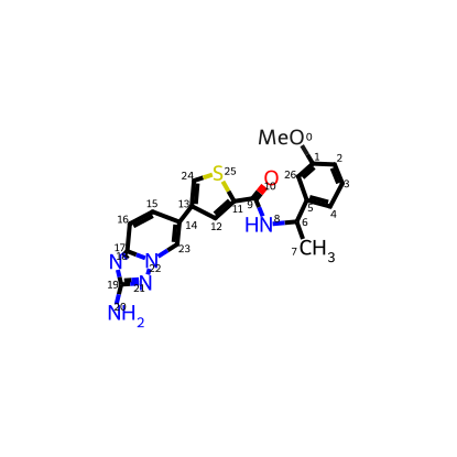 COc1cccc(C(C)NC(=O)c2cc(-c3ccc4nc(N)nn4c3)cs2)c1